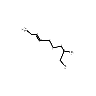 CC/C=C/CCCC(C)C[O]